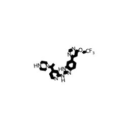 CC(c1ccnc(Nc2nc3ccc(-c4cc(OCC(F)(F)F)ncn4)cc3[nH]2)c1)N1CCNCC1